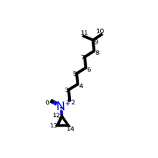 C=[N+](CCCCCCCC(C)C)C1CC1